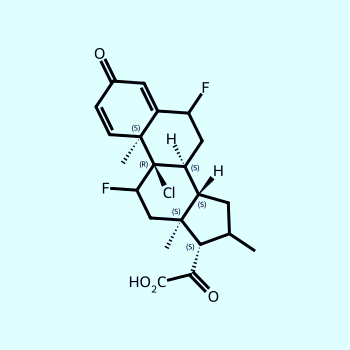 CC1C[C@H]2[C@@H]3CC(F)C4=CC(=O)C=C[C@]4(C)[C@@]3(Cl)C(F)C[C@]2(C)[C@H]1C(=O)C(=O)O